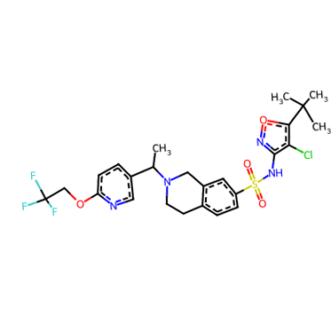 CC(c1ccc(OCC(F)(F)F)nc1)N1CCc2ccc(S(=O)(=O)Nc3noc(C(C)(C)C)c3Cl)cc2C1